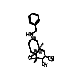 CC1(C)C(O)C(C#N)C[C@]2(C)C[C@@H](NCc3ccccc3)CC[C@@H]12